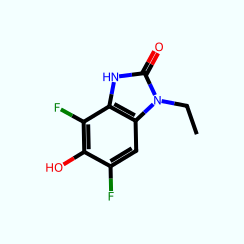 CCn1c(=O)[nH]c2c(F)c(O)c(F)cc21